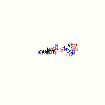 CC(C)c1cc(-c2nnc(O)n2-c2ccc3c(c2)CCN3CCOCCNC(=O)O[C@H]2CC[C@@]3(C)C(=CC[C@@H]4[C@@H]3CC[C@]3(C)C(c5cccnc5)=CC[C@@H]43)C2)c(O)cc1O